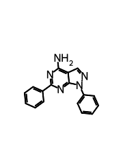 Nc1nc(-c2ccccc2)nc2c1cnn2-c1ccccc1